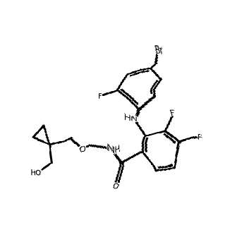 O=C(NOCC1(CO)CC1)c1ccc(F)c(F)c1Nc1ccc(Br)cc1F